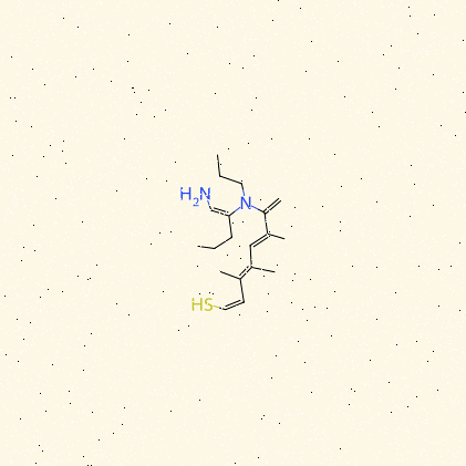 C=C(/C(C)=C/C(C)=C(C)/C=C\S)N(CCC)/C(=C\N)CCC